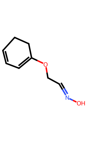 ON=CCOC1=CC=CCC1